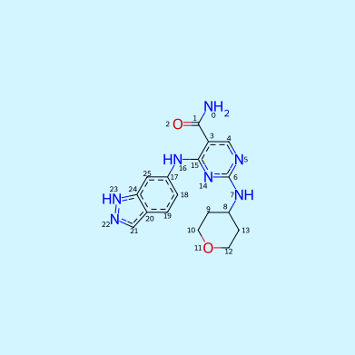 NC(=O)c1cnc(NC2CCOCC2)nc1Nc1ccc2cn[nH]c2c1